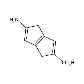 NC1=CC2=C(C=C(C(=O)O)C2)C1